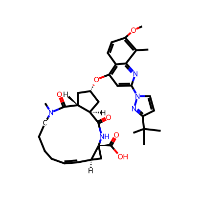 COc1ccc2c(O[C@@H]3C[C@H]4C(=O)N[C@]5(C(=O)O)C[C@H]5/C=C\CCCCN(C)C(=O)[C@@H]4C3)cc(-n3ccc(C(C)(C)C)n3)nc2c1C